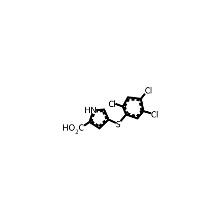 O=C(O)c1cc(Sc2cc(Cl)c(Cl)cc2Cl)c[nH]1